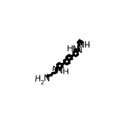 NCCCCc1nc2ccc(-c3ccc4cc(-c5ccc6nc([C@@H]7CCCN7)[nH]c6c5)ccc4c3)cc2[nH]1